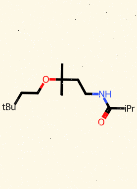 CC(C)C(=O)NCCC(C)(C)OCCC(C)(C)C